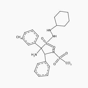 C.NC(c1ccccc1)(C(NS(=O)(=O)C(Cl)(Cl)Cl)c1ccccc1)S(=O)(=O)NNC1CCCCC1